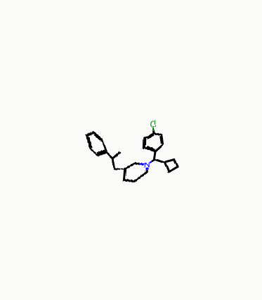 CC(C[C@@H]1CCCN(C(c2ccc(Cl)cc2)C2CCC2)C1)c1ccccc1